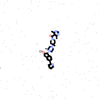 CCO[C@H]1Cc2cc(-c3ccccn3)ccc2[C@H]1N1CCN(C2(C)CCN(C(=O)c3c(C)ncnc3C)CC2)C[C@@H]1C